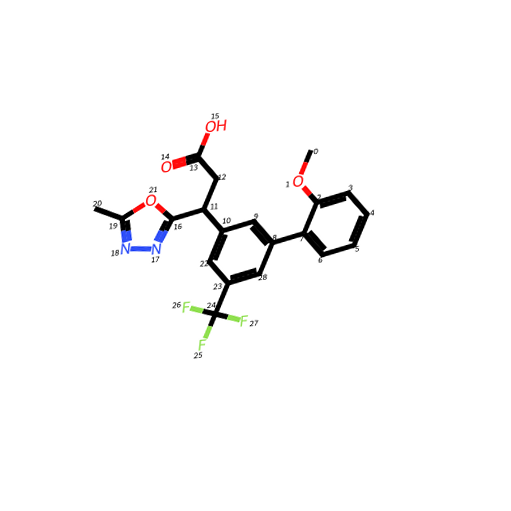 COc1ccccc1-c1cc(C(CC(=O)O)c2nnc(C)o2)cc(C(F)(F)F)c1